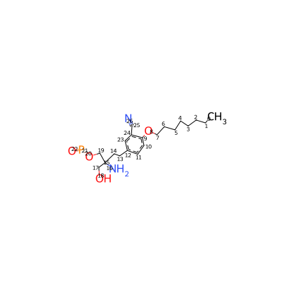 CCCCCCCCOc1ccc(CCC(N)(CO)COP=O)cc1C#N